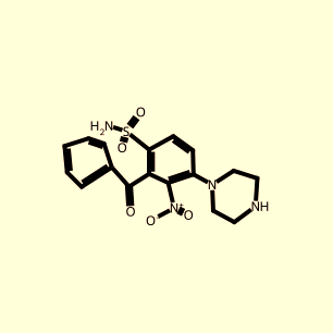 NS(=O)(=O)c1ccc(N2CCNCC2)c([N+](=O)[O-])c1C(=O)c1ccccc1